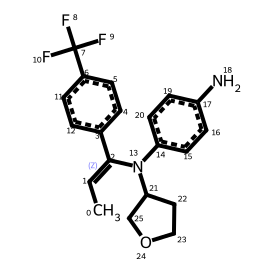 C/C=C(/c1ccc(C(F)(F)F)cc1)N(c1ccc(N)cc1)C1CCOC1